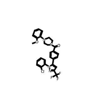 COc1ccccc1N1CCN(C(=O)c2ccc(-c3cc(C(F)(F)F)nn3-c3ccccc3Cl)cc2)CC1